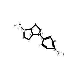 CN1CCC2C1CCN2c1ccc(N)cc1